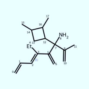 C=C/C=C(\CC)C(=C)C(N)(C(=C)C)C1CC(C)C1C